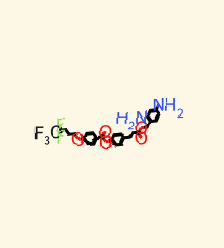 Nc1ccc(COC(=O)C=Cc2ccc(OC(=O)c3ccc(OCCCC(F)(F)C(F)(F)F)cc3)cc2)c(N)c1